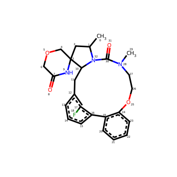 CC1CC2(COCC(=O)N2)C2Cc3cccc(c3F)-c3ccccc3OCCN(C)C(=O)N12